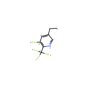 CCc1cnc(C(F)(F)F)c(F)c1